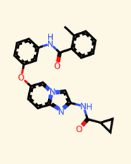 Cc1ccccc1C(=O)Nc1cccc(Oc2ccc3nc(NC(=O)C4CC4)cn3c2)c1